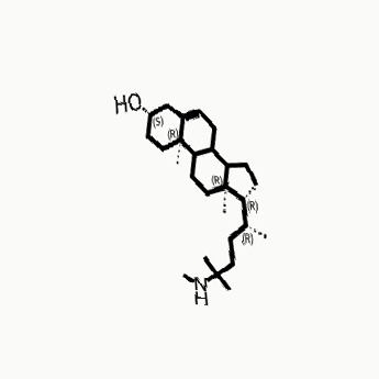 CNC(C)(C)CC[C@@H](C)[C@H]1CCC2C3CC=C4C[C@@H](O)CC[C@]4(C)C3CC[C@@]21C